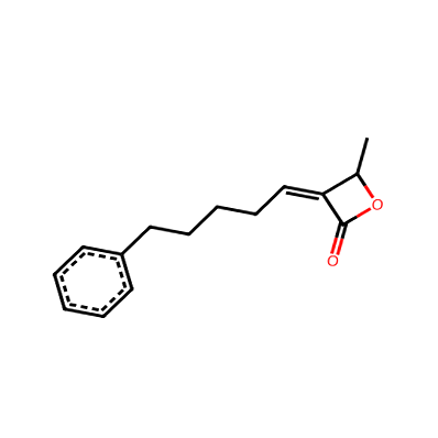 CC1OC(=O)/C1=C\CCCCc1ccccc1